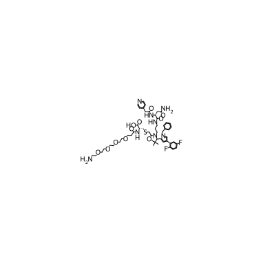 CC(C)(C)[C@H](c1cc(-c2cc(F)ccc2F)cn1Cc1ccccc1)N(CCCNC(=O)[C@H](CC(N)=O)NC(=O)Cc1ccncc1)C(=O)CSC[C@H](NC(=O)CCOCCOCCOCCOCCN)C(=O)O